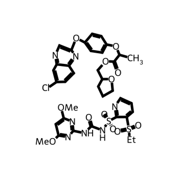 CC(Oc1ccc(Oc2cnc3cc(Cl)ccc3n2)cc1)C(=O)OCC1CCCO1.CCS(=O)(=O)c1cccnc1S(=O)(=O)NC(=O)Nc1nc(OC)cc(OC)n1